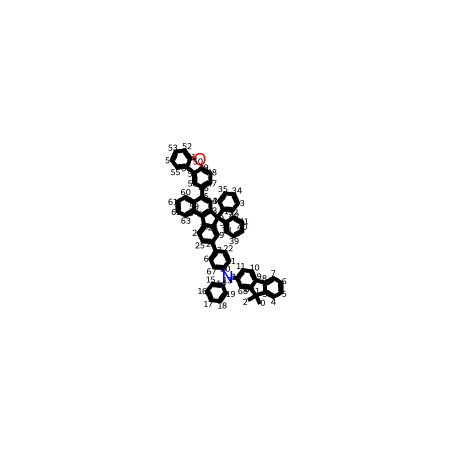 CC1(C)c2ccccc2-c2ccc(N(c3ccccc3)c3ccc(-c4ccc5c(c4)C(c4ccccc4)(c4ccccc4)c4cc(-c6ccc7oc8ccccc8c7c6)c6ccccc6c4-5)cc3)cc21